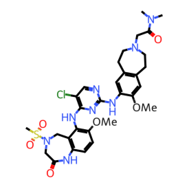 COc1cc2c(cc1Nc1ncc(Cl)c(Nc3c(OC)ccc4c3CN(S(C)(=O)=O)CC(=O)N4)n1)CCN(CC(=O)N(C)C)CC2